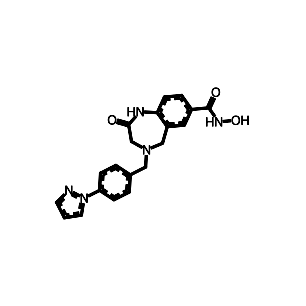 O=C1CN(Cc2ccc(-n3cccn3)cc2)Cc2cc(C(=O)NO)ccc2N1